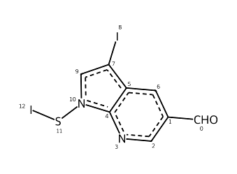 O=Cc1cnc2c(c1)c(I)cn2SI